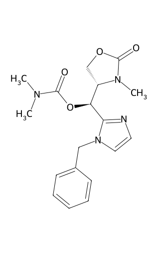 CN(C)C(=O)O[C@H](c1nccn1Cc1ccccc1)[C@@H]1COC(=O)N1C